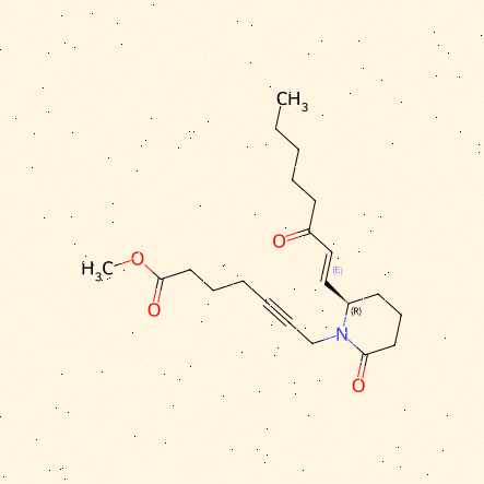 CCCCCC(=O)/C=C/[C@H]1CCCC(=O)N1CC#CCCCC(=O)OC